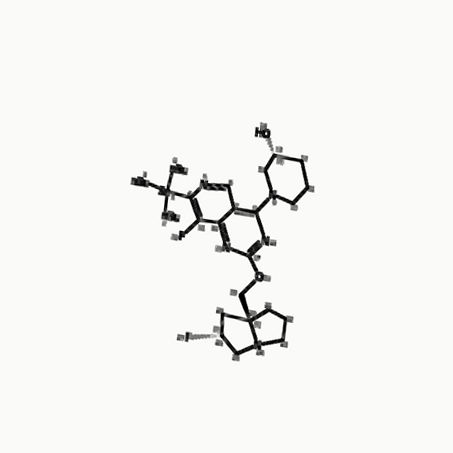 CCC[CH2][Sn]([CH2]CCC)([CH2]CCC)[c]1ncc2c(N3CCC[C@@H](O)C3)nc(OC[C@@]34CCCN3C[C@H](F)C4)nc2c1F